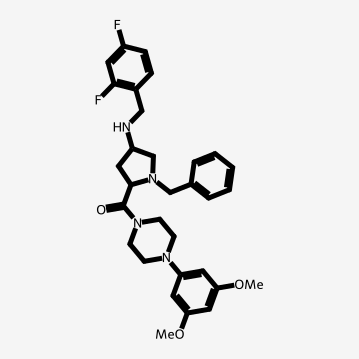 COc1cc(OC)cc(N2CCN(C(=O)C3CC(NCc4ccc(F)cc4F)CN3Cc3ccccc3)CC2)c1